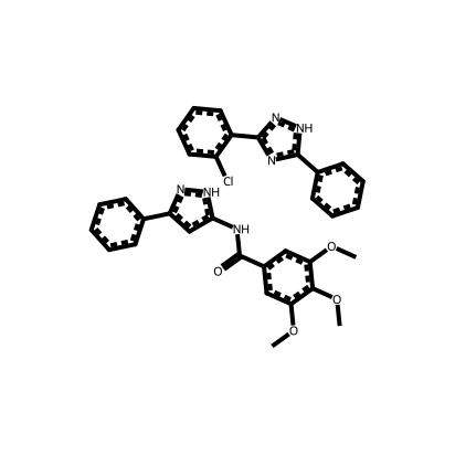 COc1cc(C(=O)Nc2cc(-c3ccccc3)n[nH]2)cc(OC)c1OC.Clc1ccccc1-c1n[nH]c(-c2ccccc2)n1